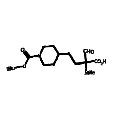 CNC(C=O)(CCC1CCN(C(=O)OC(C)(C)C)CC1)C(=O)O